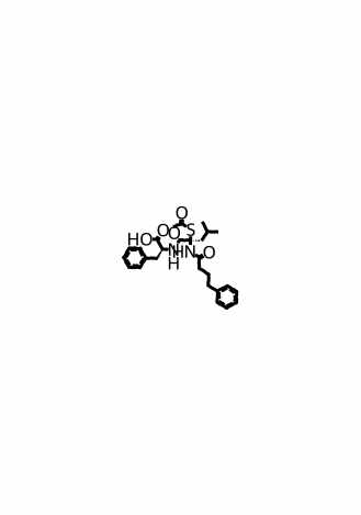 CC(=O)S[C@@](CC(C)C)(NC(=O)CCCc1ccccc1)C(=O)N[C@@H](Cc1ccccc1)C(=O)O